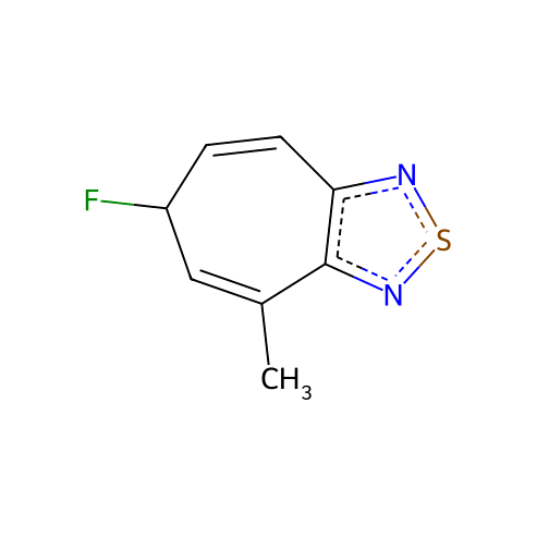 CC1=CC(F)C=Cc2nsnc21